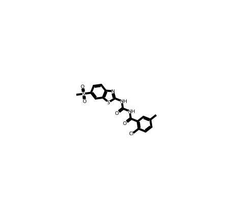 Cc1ccc(Cl)c(C(=O)NC(=O)Nc2nc3ccc(S(C)(=O)=O)cc3s2)c1